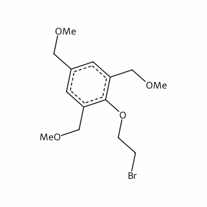 COCc1cc(COC)c(OCCBr)c(COC)c1